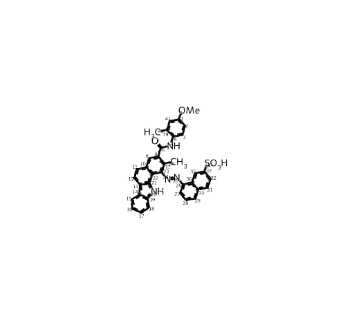 COc1ccc(NC(=O)c2cc3ccc4c5ccccc5[nH]c4c3c(N=Nc3cccc4ccc(S(=O)(=O)O)cc34)c2C)c(C)c1